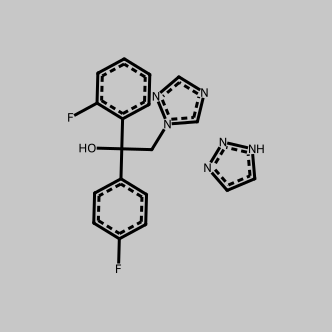 OC(Cn1cncn1)(c1ccc(F)cc1)c1ccccc1F.c1c[nH]nn1